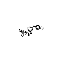 CCOC(=O)C(C)(C)n1ncc2cc(Cc3ccc(OC)cc3)cnc21